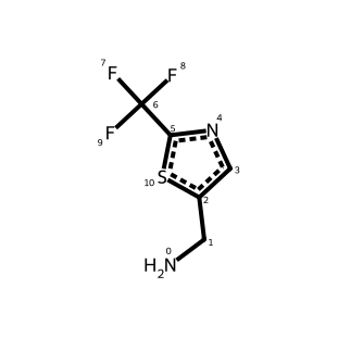 NCc1cnc(C(F)(F)F)s1